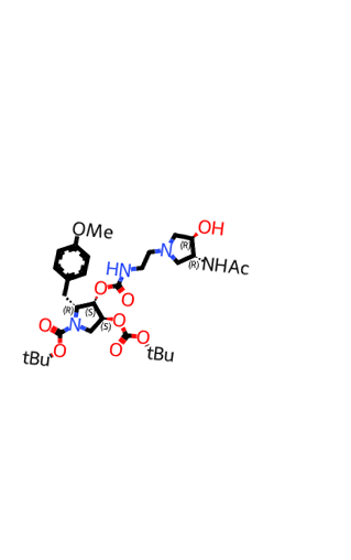 COc1ccc(C[C@@H]2[C@H](OC(=O)NCCN3C[C@@H](O)[C@H](NC(C)=O)C3)[C@@H](OC(=O)OC(C)(C)C)CN2C(=O)OC(C)(C)C)cc1